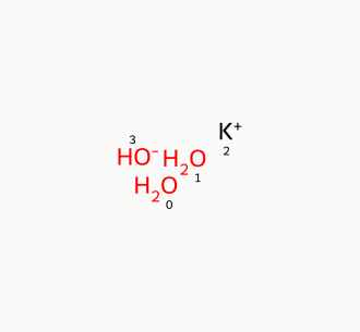 O.O.[K+].[OH-]